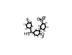 COc1ccc(C(S)c2ccc(F)cc2)cc1-c1cccc([N+](=O)[O-])c1